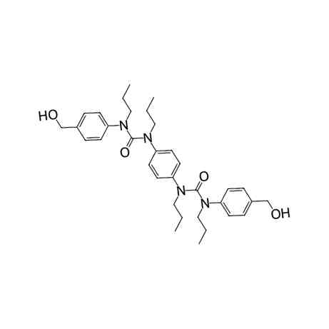 CCCN(C(=O)N(CCC)c1ccc(N(CCC)C(=O)N(CCC)c2ccc(CO)cc2)cc1)c1ccc(CO)cc1